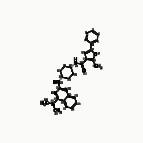 Cc1oc(-c2ccccc2)cc1C(=O)N[C@H]1CC[C@@H](Nc2nc(N(C)C)c3ccccc3n2)CC1